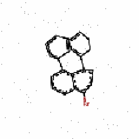 Brc1ccc(C2=CC=CCC2)c2c(C3=C=C=CC=C3)cccc12